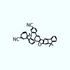 CC1(C)c2ccccc2-c2cc3c4c(oc3cc21)CCC(c1ccc(C#N)cc1-n1c2c(c3ccccc31)C=C(C#N)CC#C2)=C4